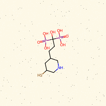 O=P(O)(O)C(O)(CCC1CNCC(S)C1)P(=O)(O)O